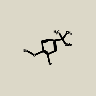 CCOc1ccc(C(C)(C)OC)cc1Br